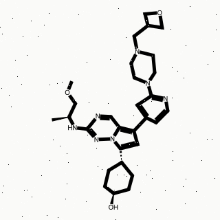 COC[C@H](C)Nc1ncc2c(-c3ccnc(N4CCN(CC5COC5)CC4)c3)cc([C@H]3CC[C@H](O)CC3)n2n1